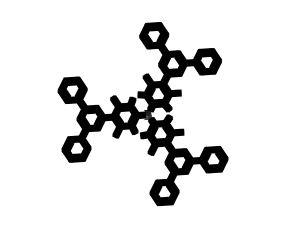 Cc1c(C)c(-c2cc(-c3ccccc3)cc(-c3ccccc3)c2)c(C)c(C)c1B(c1c(C)c(C)c(-c2cc(-c3ccccc3)cc(-c3ccccc3)c2)c(C)c1C)c1c(C)c(C)c(-c2cc(-c3ccccc3)cc(C3C=CC=CC3)c2)c(C)c1C